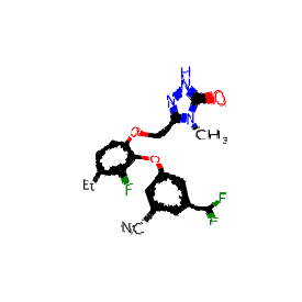 CCc1ccc(OCc2n[nH]c(=O)n2C)c(Oc2cc(C#N)cc(C(F)F)c2)c1F